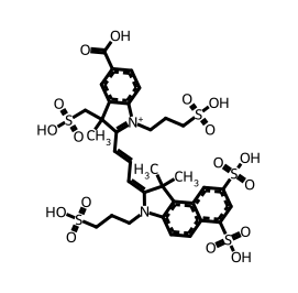 CC1(CS(=O)(=O)O)C(/C=C/C=C2/N(CCCS(=O)(=O)O)c3ccc4c(S(=O)(=O)O)cc(S(=O)(=O)O)cc4c3C2(C)C)=[N+](CCCS(=O)(=O)O)c2ccc(C(=O)O)cc21